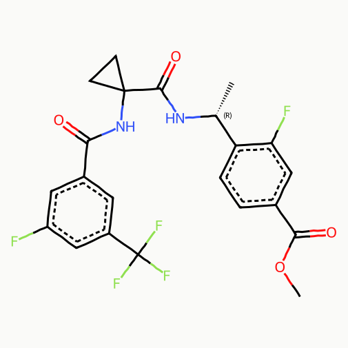 COC(=O)c1ccc([C@@H](C)NC(=O)C2(NC(=O)c3cc(F)cc(C(F)(F)F)c3)CC2)c(F)c1